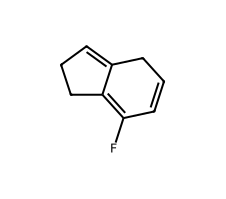 FC1=C2CCC=C2CC=C1